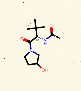 CC(=O)N[C@H](C(=O)N1CCC(O)C1)C(C)(C)C